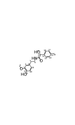 COc1cc(CCNC(=O)C(O)c2ccc(C)cc2)ccc1O